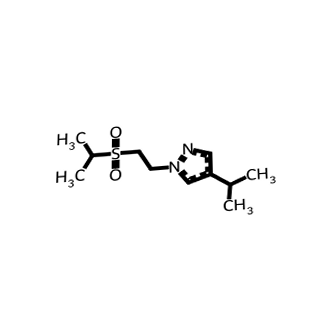 CC(C)c1cnn(CCS(=O)(=O)C(C)C)c1